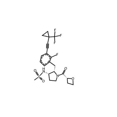 CS(=O)(=O)N[C@H]1CCN(C(=O)[C@H]2CCO2)[C@H]1Cc1cccc(C#CC2(C(F)(F)F)CC2)c1F